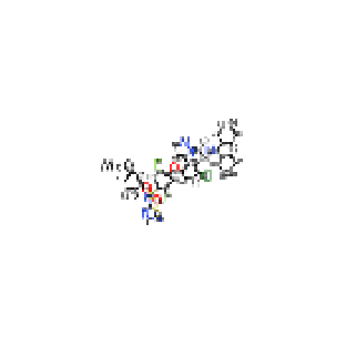 COc1ccc(CN(c2ncns2)S(=O)(=O)c2cc(F)c(Oc3ccc(Cl)cc3-c3ccnn3C3CN(C(c4ccccc4)c4ccccc4)C3)cc2F)c(C)c1